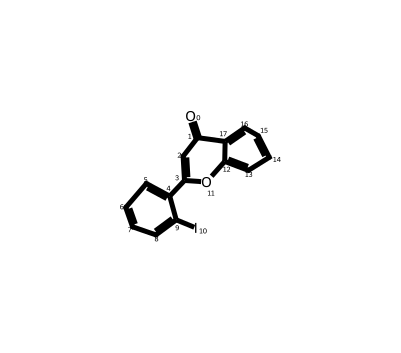 O=c1cc(-c2ccccc2I)oc2ccccc12